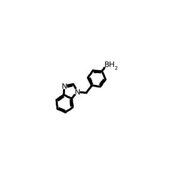 Bc1ccc(Cn2cnc3ccccc32)cc1